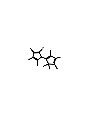 C[C]C1=C(C)C(C)=C(C)C1C1=C(C)C(C)=C(C)C1(C)C